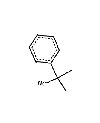 CC(C)(C#N)c1[c]cccc1